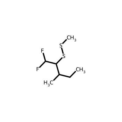 CCC(C)C(SSC)C(F)F